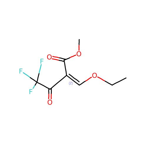 CCO/C=C(\C(=O)OC)C(=O)C(F)(F)F